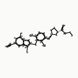 CCOC(=O)[C@H]1CC[C@H](Oc2ccc(Cl)c(Cc3cc4c(C)cc(C#N)cc4n3C)c2Cl)C1